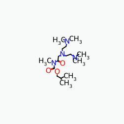 CC(C)COC(=O)N(C)C(=O)CN(CCN(C)C)CCN(C)C